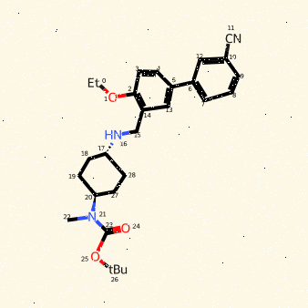 CCOc1ccc(-c2cccc(C#N)c2)cc1CN[C@H]1CC[C@H](N(C)C(=O)OC(C)(C)C)CC1